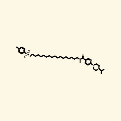 Cc1ccc(S(=O)(=O)OCCCCCCCCCCCCCCCCCNC(=O)c2ccc(N3CCN(C(C)C)CC3)nc2)cc1